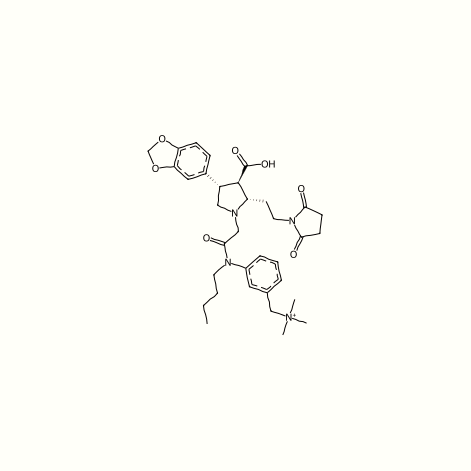 CCCCN(C(=O)CN1C[C@H](c2ccc3c(c2)OCO3)[C@@H](C(=O)O)[C@@H]1CCN1C(=O)CCC1=O)c1cccc(C[N+](C)(C)C)c1